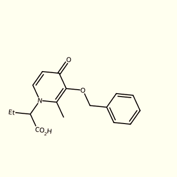 CCC(C(=O)O)n1ccc(=O)c(OCc2ccccc2)c1C